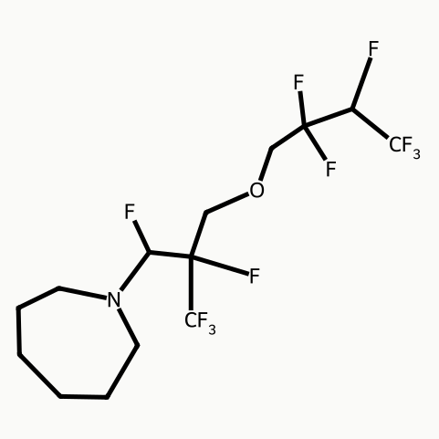 FC(C(F)(F)F)C(F)(F)COCC(F)(C(F)N1CCCCCC1)C(F)(F)F